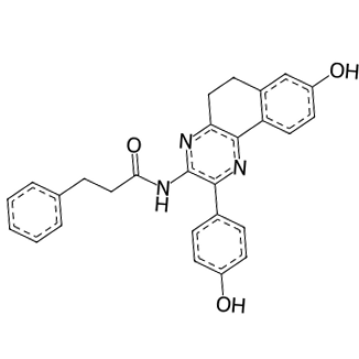 O=C(CCc1ccccc1)Nc1nc2c(nc1-c1ccc(O)cc1)-c1ccc(O)cc1CC2